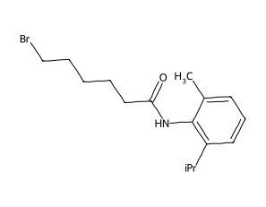 Cc1cccc(C(C)C)c1NC(=O)CCCCCBr